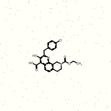 CCOC(=O)N1CCc2ccc3c(C(=O)O)c(O)c(Cc4ccc(Cl)cc4)nc3c2C1